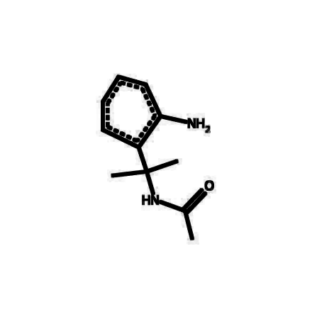 CC(=O)NC(C)(C)c1ccccc1N